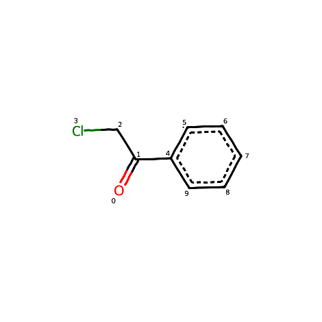 O=C(CCl)c1[c]cccc1